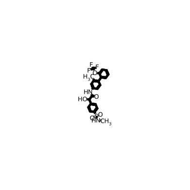 CNS(=O)(=O)c1ccc(C(O)C(=O)Nc2ccc(-c3ccccc3OC(F)(F)F)c(C)c2)cc1